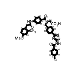 COc1ccc(CC(=O)Nc2ccc(C(=O)N(CC(=O)O)Cc3ccc(-c4noc(NC(=O)c5ccc(C)cc5)n4)cc3)cc2)c(C(F)(F)F)c1